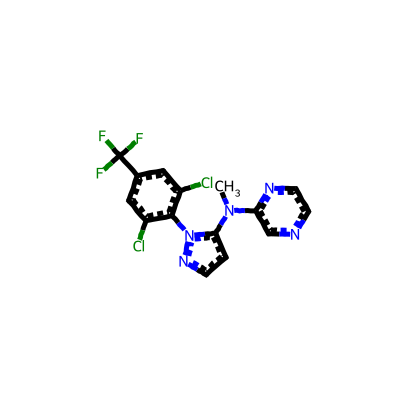 CN(c1cnccn1)c1ccnn1-c1c(Cl)cc(C(F)(F)F)cc1Cl